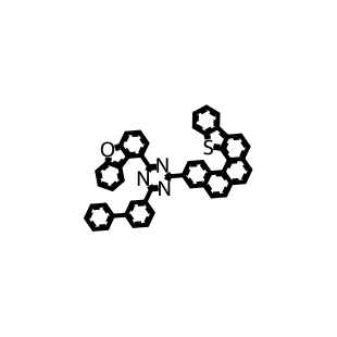 c1ccc(-c2cccc(-c3nc(-c4ccc5c(ccc6ccc7ccc8c9ccccc9sc8c7c65)c4)nc(-c4cccc5oc6ccccc6c45)n3)c2)cc1